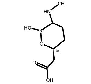 CNC1CC[C@@H](CC(=O)O)OB1O